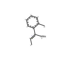 C/C=C(\NC)c1ccccc1C